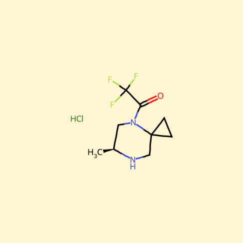 C[C@H]1CN(C(=O)C(F)(F)F)C2(CC2)CN1.Cl